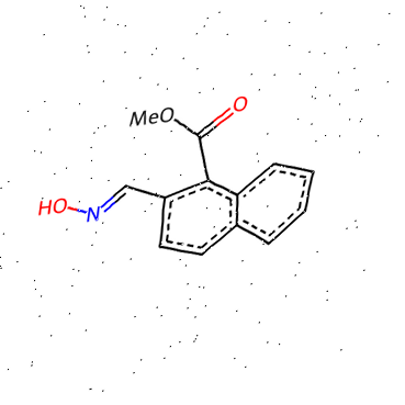 COC(=O)c1c(C=NO)ccc2ccccc12